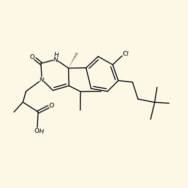 CC(C)C1=CN(CC(C)C(=O)O)C(=O)N[C@@]1(C)c1ccc(CCC(C)(C)C)c(Cl)c1